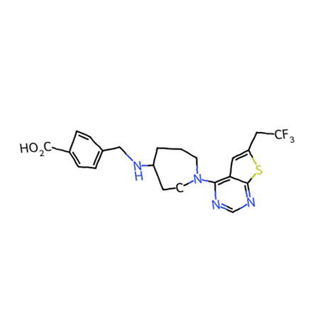 O=C(O)c1ccc(CNC2CCCN(c3ncnc4sc(CC(F)(F)F)cc34)CC2)cc1